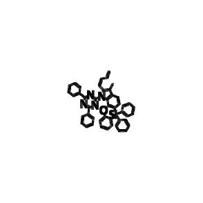 C=C/C=C\c1c(C)c2ccc3c(c2n1-c1nc(-c2ccccc2)nc(-c2ccccc2)n1)Oc1ccccc1[Si]3(c1ccccc1)c1ccccc1